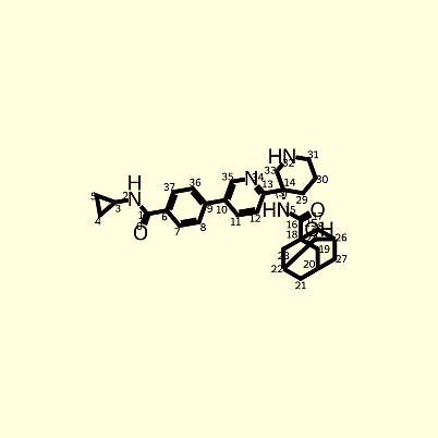 O=C(NC1CC1)c1ccc(-c2ccc([C@]3(NC(=O)C45CC6CC(C4)C(O)C(C6)C5)CCCNC3)nc2)cc1